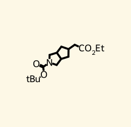 CCOC(=O)CC1CC2CN(C(=O)OC(C)(C)C)CC2C1